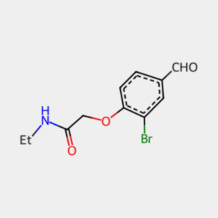 CCNC(=O)COc1ccc(C=O)cc1Br